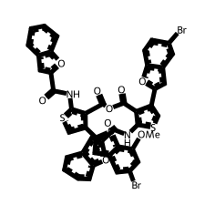 COc1cc(Br)cc2cc(-c3csc(NC(=O)c4cc5ccccc5o4)c3C(=O)OC(=O)c3c(-c4cc5cc(Br)ccc5o4)csc3NC(=O)c3cc4ccccc4o3)oc12